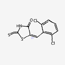 O=C1NC(=S)S/C1=C/c1c(Cl)cccc1Cl